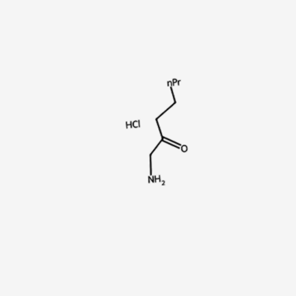 CCCCCC(=O)CN.Cl